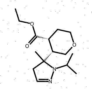 CCOC(=O)[C@@H]1CCOC[C@@H]1C1(C)CC=NN1C(C)C